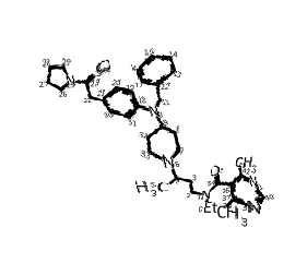 CCN(CCC(C)N1CCC(N(Cc2ccccc2)c2ccc(CC(=O)N3CCCC3)cc2)CC1)C(=O)c1c(C)ncnc1C